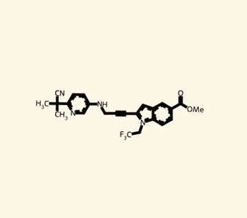 COC(=O)c1ccc2c(c1)cc(C#CCNc1ccc(C(C)(C)C#N)nc1)n2CC(F)(F)F